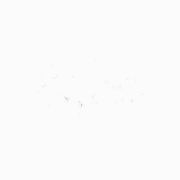 CCCC/C=C\C[C@H]1C(=O)C(C)(C)[C@@H](O)[C@@H]1/C=C/[C@H](O)CCc1sc2ccccc2c1Cl